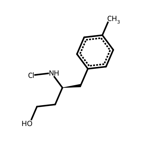 Cc1ccc(C[C@@H](CCO)NCl)cc1